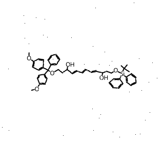 COc1ccc(C(OCCC(O)C=CC=CC=CC(O)CCO[Si](c2ccccc2)(c2ccccc2)C(C)(C)C)(c2ccccc2)c2ccc(OC)cc2)cc1